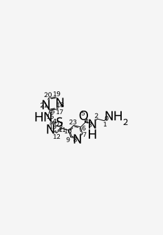 NCCNC(=O)c1cncc(-c2cnc(Nc3cnccn3)s2)c1